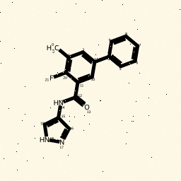 Cc1cc(-c2ccccc2)cc(C(=O)Nc2cn[nH]c2)c1F